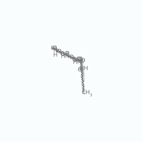 CCCCCCCCCCCCCCCCCC(=O)NCCCCC(NC(=O)CCOCCOCCNC(=O)CCOCCOCCNC(=O)CI)C(=O)O